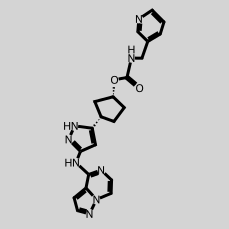 O=C(NCc1cccnc1)O[C@@H]1CC[C@H](c2cc(Nc3nccn4nccc34)n[nH]2)C1